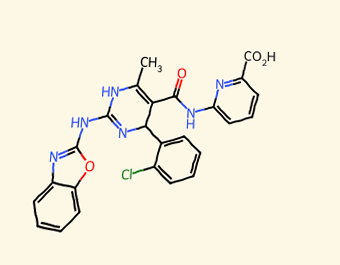 CC1=C(C(=O)Nc2cccc(C(=O)O)n2)C(c2ccccc2Cl)N=C(Nc2nc3ccccc3o2)N1